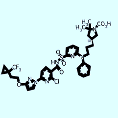 CC1(C)C[C@H](CCCN(c2ccccc2)c2cccc(S(=O)(=O)NC(=O)c3ccc(-n4ccc(OCCC5(C(F)(F)F)CC5)n4)nc3Cl)n2)CN1C(=O)O